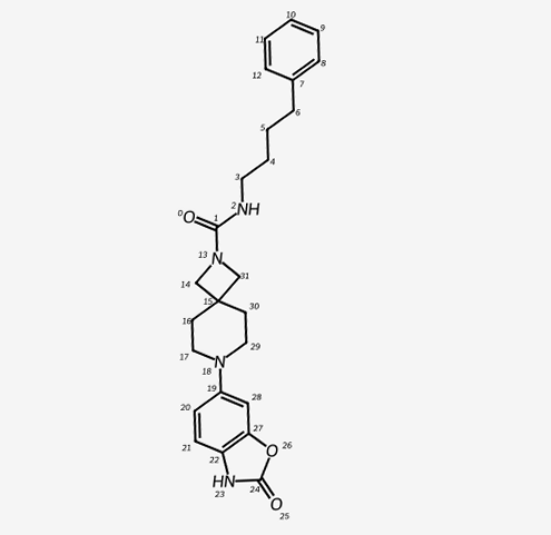 O=C(NCCCCc1ccccc1)N1CC2(CCN(c3ccc4[nH]c(=O)oc4c3)CC2)C1